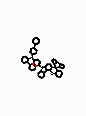 c1ccc(-c2ccc(N(c3ccc(-n4c5ccccc5c5c6c(ccc54)C4(c5ccccc5O6)c5ccccc5-c5ccccc54)cc3)c3ccccc3-c3ccccc3)cc2)cc1